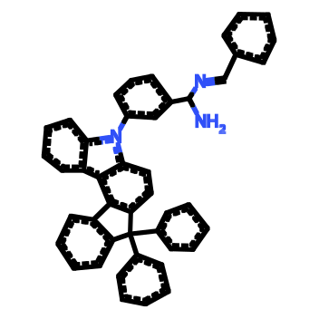 NC(/N=C/c1ccccc1)c1cccc(-n2c3ccccc3c3c4c(ccc32)C(c2ccccc2)(c2ccccc2)c2ccccc2-4)c1